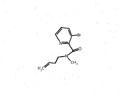 C=CCCN(C)C(=O)c1ncccc1Br